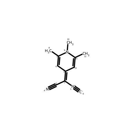 [C-]#[N+]C(C#N)=C1C=C(C)N(C)C(C)=C1